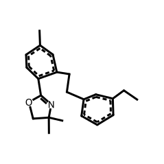 CCc1cccc(CCc2cc(C)ccc2C2=NC(C)(C)CO2)c1